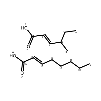 CCC(C)/C=C/C(=O)O.CCCCC/C=C/C(=O)O